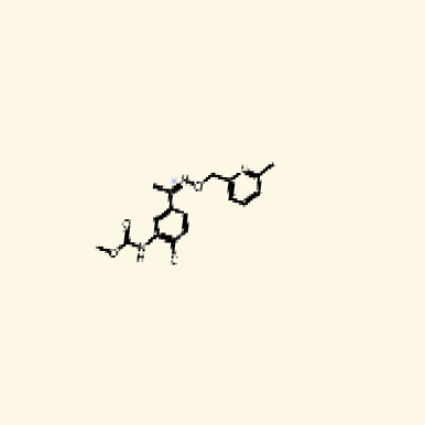 COC(=O)Nc1cc(/C(C)=N\OCc2cccc(C)n2)ccc1Cl